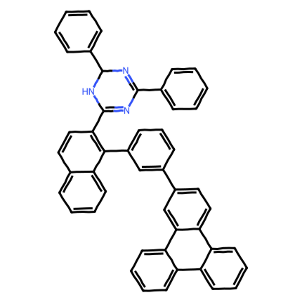 c1ccc(C2=NC(c3ccccc3)NC(c3ccc4ccccc4c3-c3cccc(-c4ccc5c6ccccc6c6ccccc6c5c4)c3)=N2)cc1